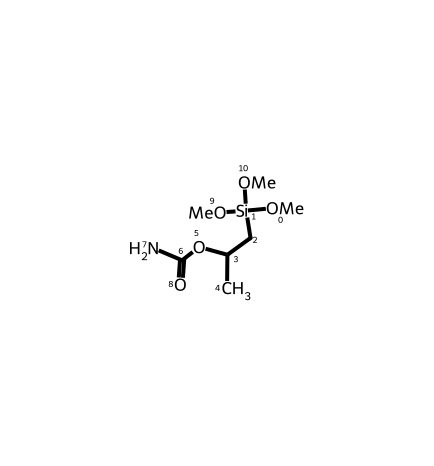 CO[Si](CC(C)OC(N)=O)(OC)OC